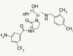 CCC[C@H](O)[C@H](CNCc1ccc(C)cc1C)N1CC[C@H](NC(=O)c2cc(N)cc(C(F)(F)F)c2)C1=O